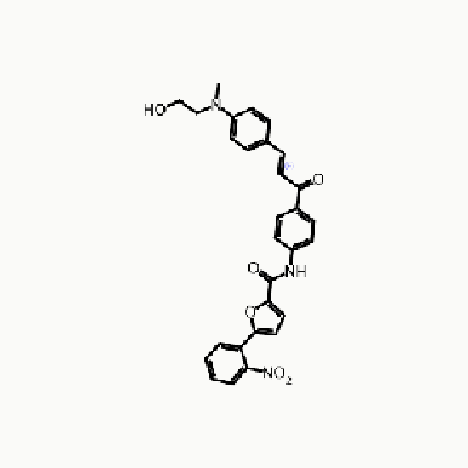 CN(CCO)c1ccc(/C=C/C(=O)c2ccc(NC(=O)c3ccc(-c4ccccc4[N+](=O)[O-])o3)cc2)cc1